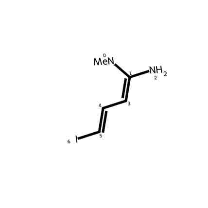 CN/C(N)=C\C=C\I